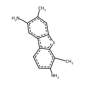 Cc1cc2sc3c(C)c(N)ccc3c2cc1N